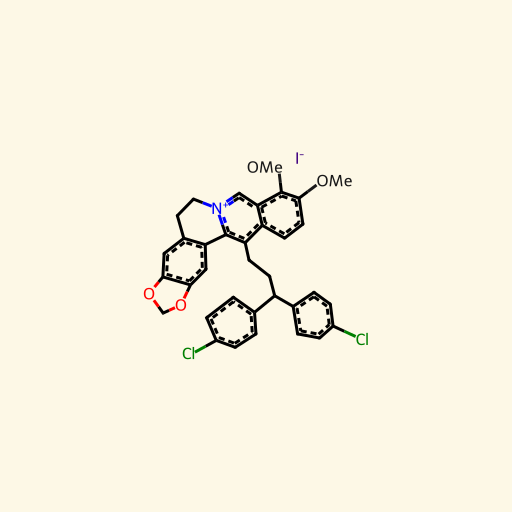 COc1ccc2c(CCC(c3ccc(Cl)cc3)c3ccc(Cl)cc3)c3[n+](cc2c1OC)CCc1cc2c(cc1-3)OCO2.[I-]